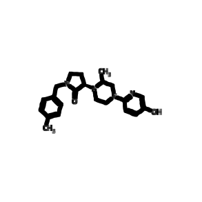 Cc1ccc(CN2CC[C@@H](N3CCN(c4ccc(O)cn4)CC3C)C2=O)cc1